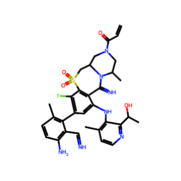 C=CC(=O)N1CC(C)N2C(=N)c3c(Nc4c(C)ccnc4C(C)O)cc(-c4c(C)ccc(N)c4C=N)c(F)c3S(=O)(=O)CC2C1